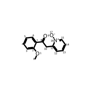 COc1ccccc1C(=O)Cc1cccc[n+]1[O-]